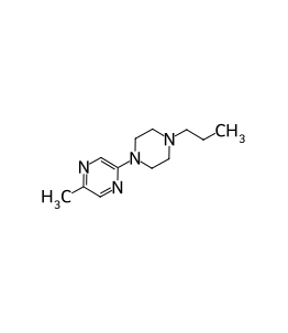 CCCN1CCN(c2cnc(C)cn2)CC1